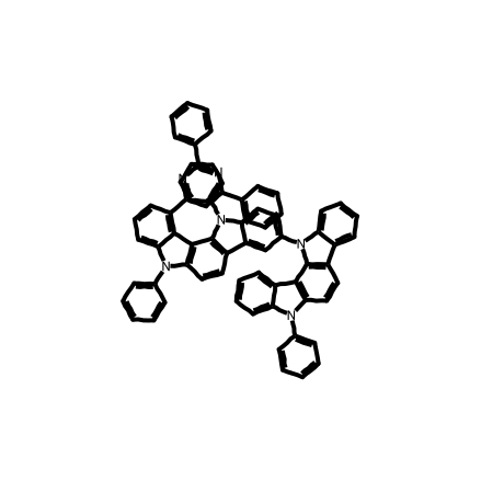 c1ccc(-c2cc(-c3cccc4c3c3c(ccc5c6cc(-n7c8ccccc8c8ccc9c(c%10ccccc%10n9-c9ccccc9)c87)ccc6n(-c6ccccc6)c53)n4-c3ccccc3)nc(-c3ccccc3)n2)cc1